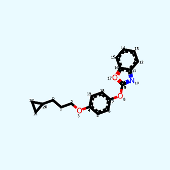 [CH](CCOc1ccc(Oc2nc3ccccc3o2)cc1)C1CC1